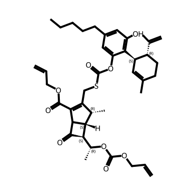 C=CCOC(=O)O[C@H](C)[C@H]1C(=O)C2C(C(=O)OCC=C)=C(CSC(=O)Oc3cc(CCCCC)cc(O)c3[C@@H]3C=C(C)CC[C@H]3C(=C)C)[C@H](C)[C@@H]21